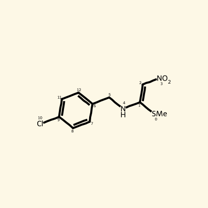 CSC(=C[N+](=O)[O-])NCc1ccc(Cl)cc1